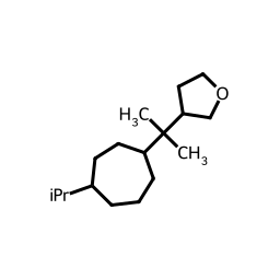 CC(C)C1CCCC(C(C)(C)C2CCOC2)CC1